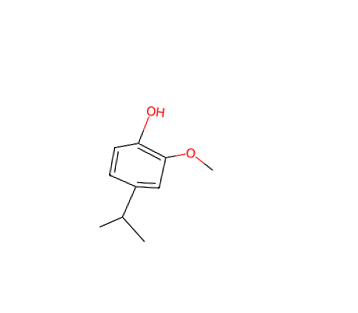 COc1cc(C(C)C)ccc1O